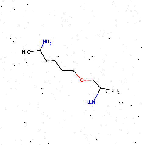 CC(N)CCCCOCC(C)N